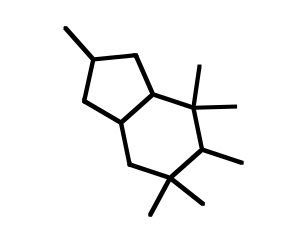 CC1CC2CC(C)(C)C(C)C(C)(C)C2C1